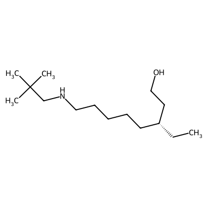 CC[C@@H](CCO)CCCCCNCC(C)(C)C